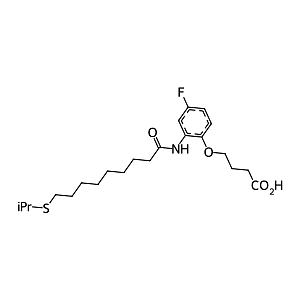 CC(C)SCCCCCCCCC(=O)Nc1cc(F)ccc1OCCCC(=O)O